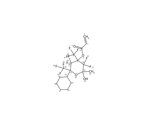 C=CC(=O)OC1(C(F)(F)F)C(F)(F)C(C)(O)OC(C2CCCCC2)(C(F)(F)F)C1(F)F